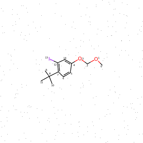 COCOc1ccc(C(C)(C)C)c(I)c1